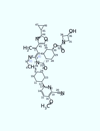 C=C(/C=C(\N=C/C)N(C[C@H]1CC[C@H](c2ccc(OC)c(C#N)n2)CC1)C(=O)[C@H]1CC[C@H](OC(=O)N2CC(O)C2)CC1)c1coc(C2CC2)n1